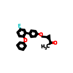 CC(=O)C1CC1COc1ccc(-c2cc(F)ccc2Oc2ccccc2)cc1